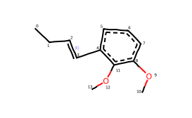 CC/C=C/c1cccc(OC)c1OC